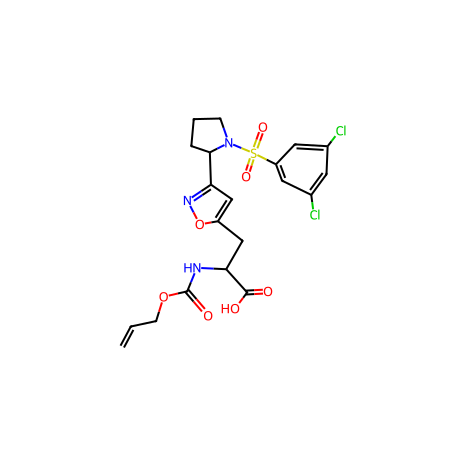 C=CCOC(=O)NC(Cc1cc(C2CCCN2S(=O)(=O)c2cc(Cl)cc(Cl)c2)no1)C(=O)O